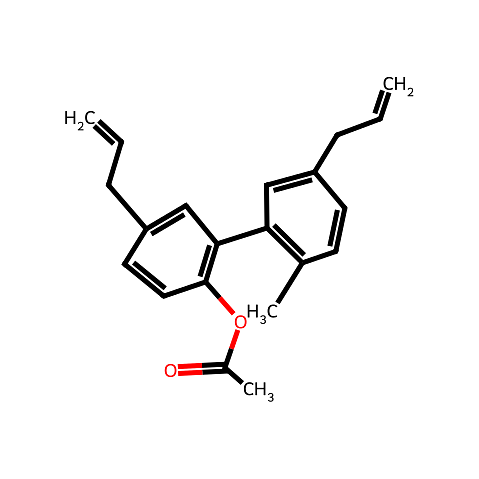 C=CCc1ccc(C)c(-c2cc(CC=C)ccc2OC(C)=O)c1